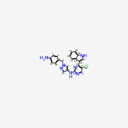 Nc1ccc(Cn2cc(Nc3ncc(Cl)c(-c4c[nH]c5ccccc45)n3)cn2)cc1